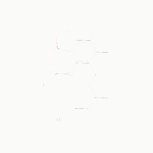 C/C(=C\Cc1c(C)c(C)c2c(c1NC(=O)C(F)(F)F)C(=O)OC2)CCC(=O)O